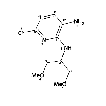 COCC(COC)Nc1nc(Cl)ccc1N